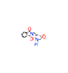 COC1CNCC(CN2C(=O)c3ccccc3C2=O)C1